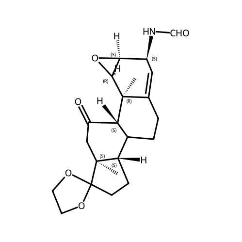 C[C@@]12C(=C[C@H](NC=O)[C@@H]3O[C@@H]31)CCC1[C@@H]2C(=O)C[C@@]2(C)[C@H]1CCC21OCCO1